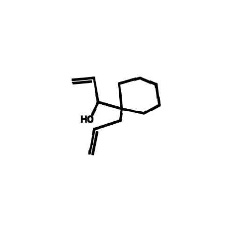 C=CCC1(C(O)C=C)CCCCC1